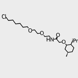 CC(C)C1CC[C@@H](C)CC1OCC(=O)NCCOCCOCCCCCCCl